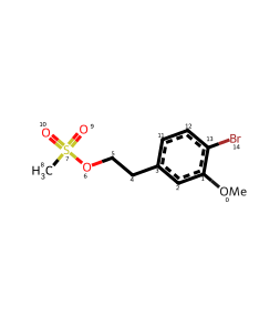 COc1cc(CCOS(C)(=O)=O)ccc1Br